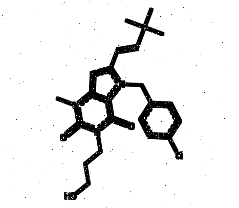 Cn1c(=O)n(CCCO)c(=O)c2c1cc(C=CC(C)(C)C)n2Cc1ccc(Cl)cc1